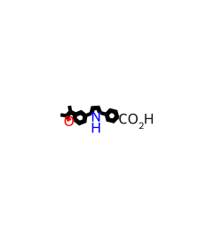 Cc1oc2ccc(-c3ccc(-c4ccc(C(=O)O)cc4)[nH]3)cc2c1C